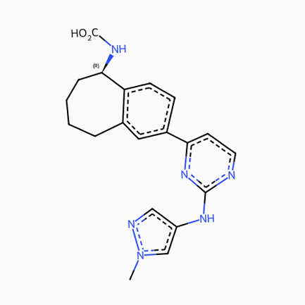 Cn1cc(Nc2nccc(-c3ccc4c(c3)CCCC[C@H]4NC(=O)O)n2)cn1